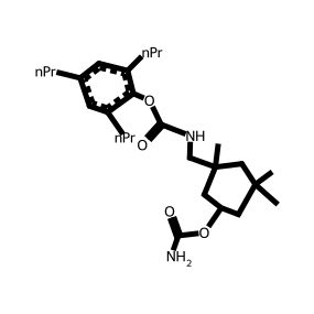 CCCc1cc(CCC)c(OC(=O)NCC2(C)CC(OC(N)=O)CC(C)(C)C2)c(CCC)c1